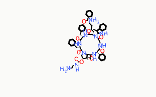 Cc1c(N2C(=O)CNC(=O)[C@H](c3ccccc3)NC(=O)[C@@H]3C[C@@H](OC(=O)NCCN)CN3C(=O)[C@H](Cc3ccccc3)NC(=O)[C@H](Cc3ccc(OCc4ccccc4)cc3)NC(=O)[C@@H]2CCCCN)[nH]c2ccccc12